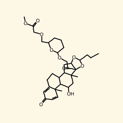 CCCC1OC2CC3C4CCC5=CC(=O)C=CC5(C)C4C(O)CC3(C)C2(C(=O)COC2CCCC(COCC(=O)OC)O2)O1